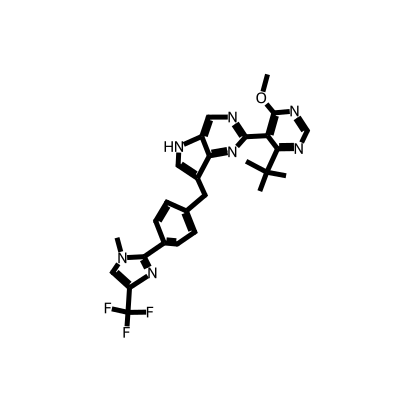 COc1ncnc(C(C)(C)C)c1-c1ncc2[nH]cc(Cc3ccc(-c4nc(C(F)(F)F)cn4C)cc3)c2n1